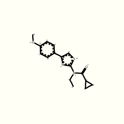 CCN(C(=O)C1CC1)c1nc(-c2ccc(OC)cc2)cs1